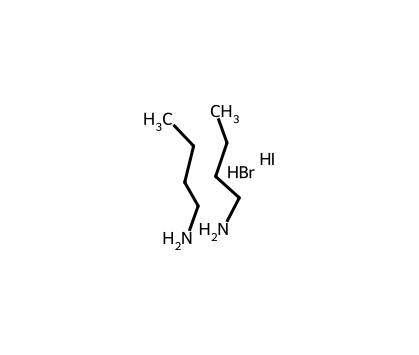 Br.CCCCN.CCCCN.I